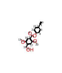 C#Cc1ccc(OC(=O)c2cc(OC)c(CO)cc2OC)cc1